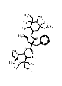 C=CCC(Cc1ccccc1)(C(=O)OC1CC(C)(CC)N(C)C(C)(CC)C1C)C(=O)OC1CC(C)(CC)N(C)C(C)(CC)C1C